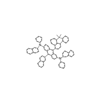 CC1(C)c2ccccc2-c2ccc(-c3c4ccc(N(c5ccccc5)c5ccc6ccccc6c5)cc4c(-c4ccc5ccccc5c4)c4ccc(N(c5ccccc5)c5ccc6ccccc6c5)cc34)c3cccc1c23